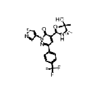 C[C@H](NC(=O)c1cc(-c2ccc(C(F)(F)F)cc2)nn(-c2cnsc2)c1=O)C(C)(C)O